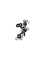 C=CCN(C(=O)NCc1ccc(Cl)c(Cl)c1)N1CC(=O)N2[C@@H](Cc3ccc(N)cc3)C(=O)N(Cc3cccc4ccccc34)C[C@@H]21